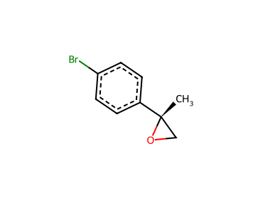 C[C@@]1(c2ccc(Br)cc2)CO1